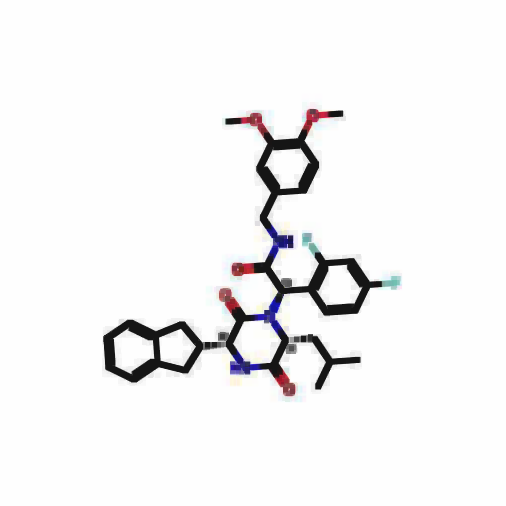 COc1ccc(CNC(=O)[C@@H](c2ccc(F)cc2F)N2C(=O)[C@@H](C3Cc4ccccc4C3)NC(=O)[C@H]2CC(C)C)cc1OC